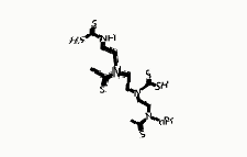 CCCN(CCN(CCN(CCNC(=S)S)C(C)=S)C(=S)S)C(C)=S